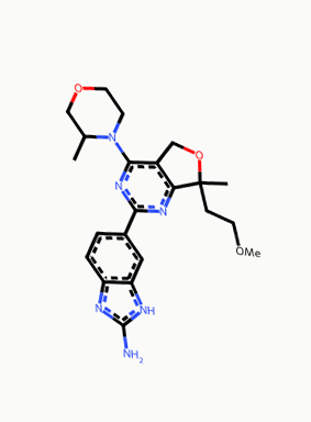 COCCC1(C)OCc2c(N3CCOCC3C)nc(-c3ccc4nc(N)[nH]c4c3)nc21